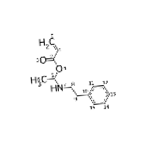 C=CC(=O)OC(C)NCCc1ccccc1